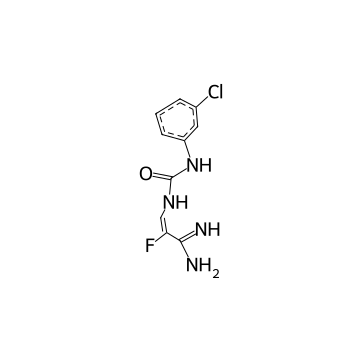 N=C(N)/C(F)=C\NC(=O)Nc1cccc(Cl)c1